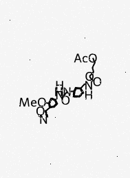 COc1cc(NC(=O)Nc2cccc(CNC(=O)OCCCOC(C)=O)c2)ccc1-c1cnco1